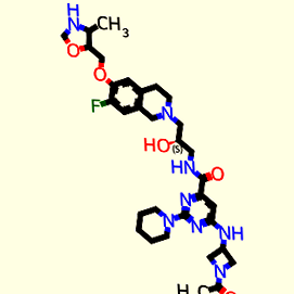 CC(=O)N1CC(Nc2cc(C(=O)NC[C@H](O)CN3CCc4cc(OCC5OCNC5C)c(F)cc4C3)nc(N3CCCCC3)n2)C1